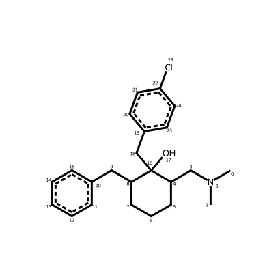 CN(C)CC1CCCC(Cc2ccccc2)C1(O)Cc1ccc(Cl)cc1